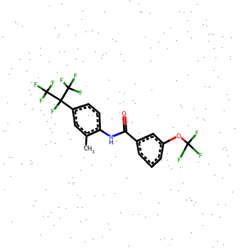 Cc1cc(C(F)(C(F)(F)F)C(F)(F)F)ccc1NC(=O)c1cccc(OC(F)(F)F)c1